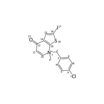 C[N+]1(Cc2ccc(Cl)cc2)C=CC(=O)c2cc(I)sc21